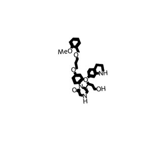 COc1ccccc1COCCCOc1ccc(N2C(=O)CNC[C@@H]2C(CCO)Oc2ccc3c(c2)NCCC3)cc1